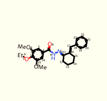 CCOc1c(OC)cc(C(=O)NN=C2CCCCC2=Cc2ccccc2)cc1OC